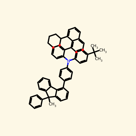 CC(C)(C)c1ccc(N(c2ccc(-c3cccc4c3-c3ccccc3C4(C)c3ccccc3)cc2)c2ccccc2-c2cccc3cccc(C4CCCCC4)c23)cc1